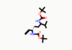 C=C[C@H](CCC(NC(=O)OC(C)(C)C)C(C)C)NC(=O)OC(C)(C)C